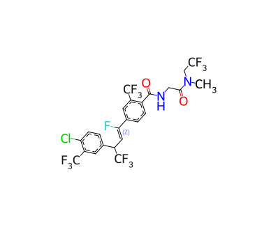 CN(CC(F)(F)F)C(=O)CNC(=O)c1ccc(/C(F)=C/C(c2ccc(Cl)c(C(F)(F)F)c2)C(F)(F)F)cc1C(F)(F)F